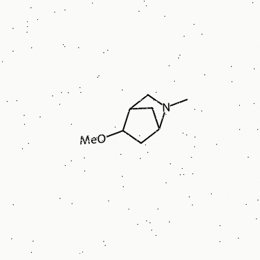 COC1CC2CC1CN2C